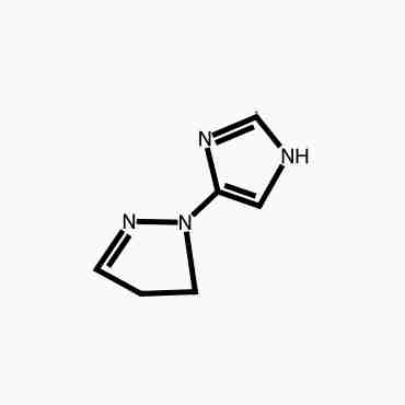 [c]1nc(N2CCC=N2)c[nH]1